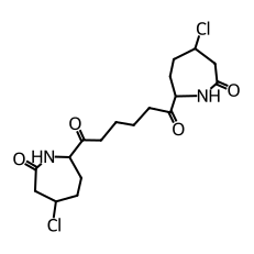 O=C1CC(Cl)CCC(C(=O)CCCCC(=O)C2CCC(Cl)CC(=O)N2)N1